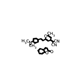 CC1=CC(=C(C#N)C#N)C=C(C=Cc2ccc(N(C)C)cc2)O1.O=c1ccc2ccccc2o1